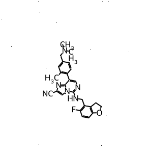 Cc1cc(CN(C)C)ccc1-c1cnc(NCc2c(F)ccc3c2CCO3)n2cc(C#N)nc12